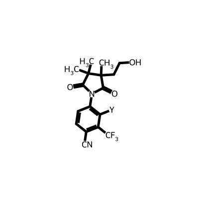 CC1(C)C(=O)N(c2ccc(C#N)c(C(F)(F)F)[c]2[Y])C(=O)C1(C)CCO